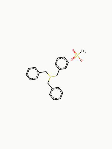 O=S(=O)([O-])C(F)(F)F.c1ccc(C[S+](Cc2ccccc2)Cc2ccccc2)cc1